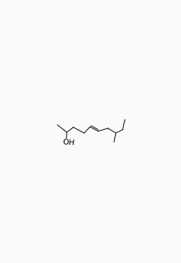 CCC(C)CC=CCCC(C)O